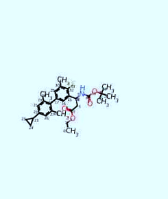 CCOC(=O)C[C@H](NC(=O)OC(C)(C)C)c1cc(-c2c(C)cc(C3CC3)cc2C)cc(C)c1F